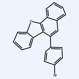 Brc1ccc(-c2cc3ccccc3c3oc4ccccc4c23)cc1